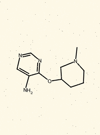 CN1CCCC(Oc2ncncc2N)C1